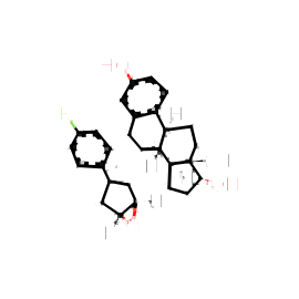 C[C@]12CC[C@@H]3c4ccc(O)cc4CC[C@H]3[C@@H]1CC[C@@H]2O.Fc1ccc(C2C[C@H]3O[C@@H]3C2)cc1